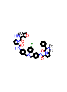 CCN(CC)[C@@H](C(=O)N1CCC[C@H]1C(=O)Nc1ccc(CN(Cc2ccc(NC(=O)[C@@H]3CCCN3C(=O)[C@@H](NC(=O)O)[C@H]3CCOC3)cc2)c2ccc(F)cc2)cc1)c1ccccc1